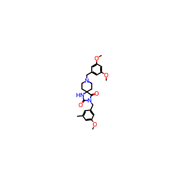 COc1cc(C)cc(CN2C(=O)NC3(CCN(Cc4cc(OC)cc(OC)c4)CC3)C2=O)c1